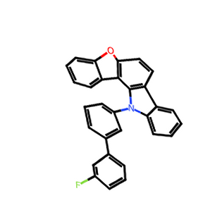 Fc1cccc(-c2cccc(-n3c4ccccc4c4ccc5oc6ccccc6c5c43)c2)c1